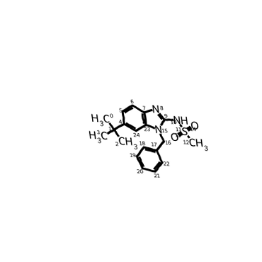 CC(C)(C)c1ccc2nc(NS(C)(=O)=O)n(Cc3ccccc3)c2c1